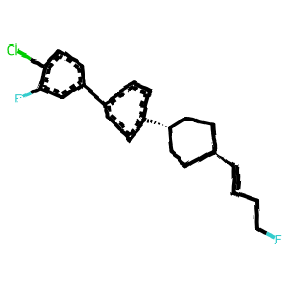 FCCC=C[C@H]1CC[C@H](c2ccc(-c3ccc(Cl)c(F)c3)cc2)CC1